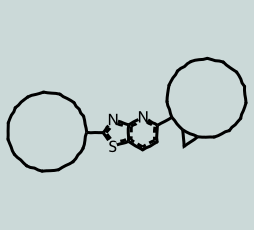 c1cc2sc(C3CCCCCCCCCCCCCC3)nc2nc1C1CCCCCCCCCCCCC2CC21